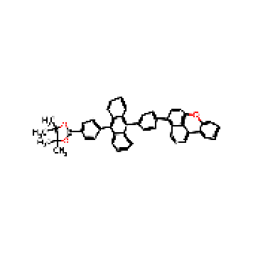 CC1(C)OB(c2ccc(-c3c4ccccc4c(-c4ccc(-c5ccc6c7c(cccc57)-c5ccccc5O6)cc4)c4ccccc34)cc2)OC1(C)C